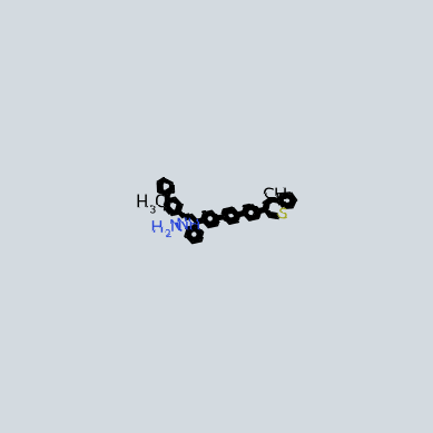 C=C1/C=C(c2ccc(-c3ccc(-c4ccc(C(/C=C(\NN)C5=CCC(C)(C6=CCCC=C6)C=C5)c5ccccc5)cc4)cc3)cc2)\C=C/Sc2ccccc21